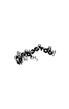 CCc1cc(Nc2ncc(Br)c(Nc3ccc4nccnc4c3P(C)(C)=O)n2)c(OC)cc1N1CCC(N2CCN(C(=O)C3CN(c4ccc(C5CCC(=O)NC5=O)c(C#N)c4)C3)CC2)CC1